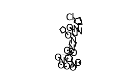 COc1c([N+](=O)[O-])cc(S(=O)(=O)N2CCN(c3cnn(-c4cccc(Cl)c4)c(=O)c3OC3CCCC3)CC2)cc1[N+](=O)[O-]